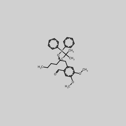 CCCCC(Cc1cc(OC)c(OC)cc1C=O)O[Si](c1ccccc1)(c1ccccc1)C(C)(C)C